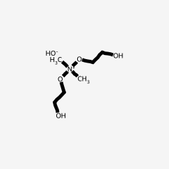 C[N+](C)(OCCO)OCCO.[OH-]